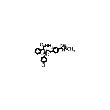 Cn1nnc(-c2ccc(CCN(C(C(N)=O)c3ccccc3)S(=O)(=O)c3ccc(Cl)cc3)cc2)n1